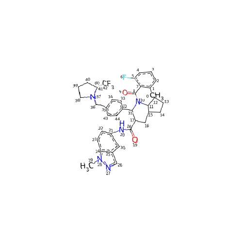 Cc1cccc(F)c1C(=O)N1C2CCCC2CC(C(=O)Nc2ccc3c(cnn3C)c2)C1c1ccc(CN2CCC[C@@H]2C(F)(F)F)cc1